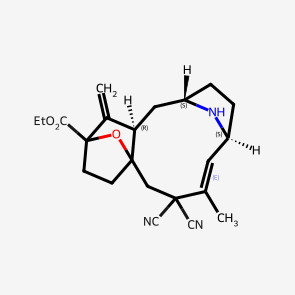 C=C1[C@H]2C[C@@H]3CC[C@@H](/C=C(\C)C(C#N)(C#N)CC24CCC1(C(=O)OCC)O4)N3